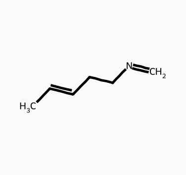 C=NCC/C=C/C